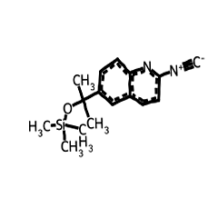 [C-]#[N+]c1ccc2cc(C(C)(C)O[Si](C)(C)C)ccc2n1